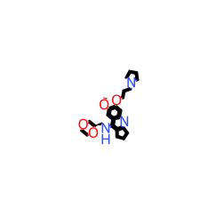 COc1cc2c(NC[C@@H]3COCCO3)c3c(nc2cc1OCCCN1CCCC1)CCC3